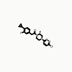 C[C@H]1CN(c2ccc(Cl)nn2)CCN1C(=O)Cc1ccc(C2CC2)c(F)c1